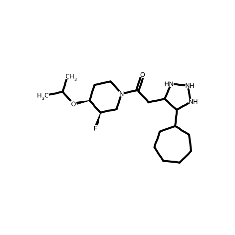 CC(C)O[C@H]1CCN(C(=O)CC2NNNC2C2CCCCCC2)C[C@H]1F